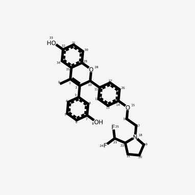 CC1=C(c2cccc(O)c2)C(c2ccc(OCCN3CCCC3C(F)F)cc2)Oc2ccc(O)cc21